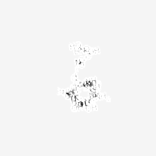 CC[C@H](C)CNC(=O)CNC(=O)[C@@H]1Cc2c([nH]c3cc(OCCCCCCN(C)C(=O)OCc4ccc(O)c(C(=O)NCCO)c4)ccc23)[S+]([O-])C[C@H](NC(=O)ON)C(=O)N[C@@H](CC(N)=O)C(=O)N2C[C@H](O)C[C@H]2C(=O)N[C@@H]([C@@H](C)[C@@H](O)CO)C(=O)N1